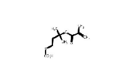 C=C(C)C(=O)OC(C)(C)CCOC(=O)O